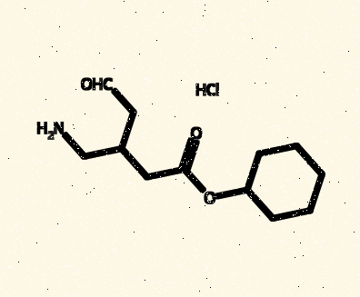 Cl.NCC(CC=O)CC(=O)OC1CCCCC1